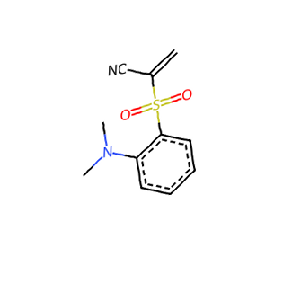 C=C(C#N)S(=O)(=O)c1ccccc1N(C)C